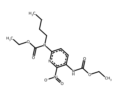 C[CH]CCN(C(=O)OCC)c1ccc(NC(=O)OCC)c([N+](=O)[O-])n1